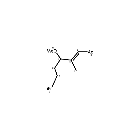 COC(CCC(C)C)C(C)=CC(C)=O